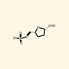 CCS(=O)(=O)/N=C/[C@H]1CC[C@@H](C=O)O1